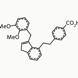 COc1cccc(CC2=CCc3cccc(CCc4ccc(C(=O)O)cc4)c32)c1OC